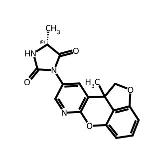 C[C@H]1NC(=O)N(c2cnc3c(c2)C2(C)COc4cccc(c42)O3)C1=O